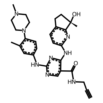 C#CCNC(=O)c1cnc(Nc2ccc(N3CCN(C)CC3)c(C)c2)nc1Nc1ccc2c(n1)[C@@](C)(O)CC2